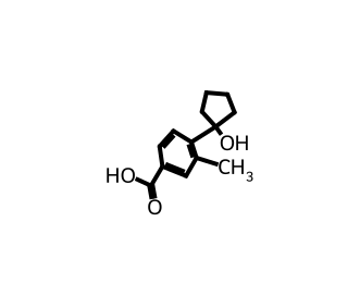 Cc1cc(C(=O)O)ccc1C1(O)CCCC1